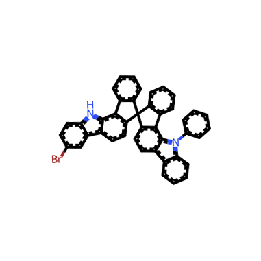 Brc1ccc2[nH]c3c4c(ccc3c2c1)C1(c2ccccc2-4)c2ccccc2-c2c1ccc1c3ccccc3n(-c3ccccc3)c21